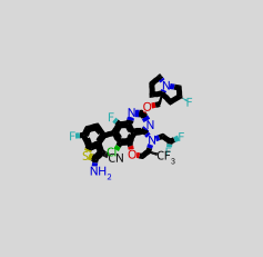 N#Cc1c(N)sc2c(F)ccc(-c3c(Cl)c4c5c(nc(OC[C@@]67CCCN6C[C@H](F)C7)nc5c3F)N(CC(F)F)[C@@H](C(F)(F)F)CO4)c12